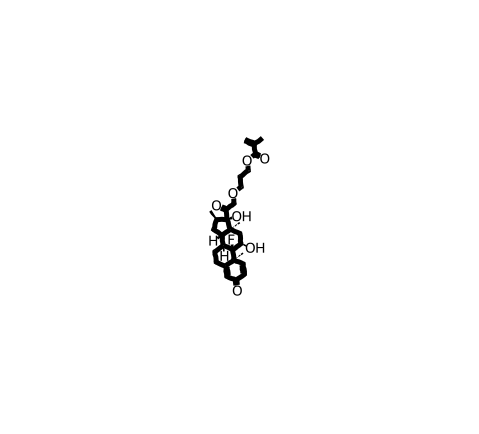 C=C(C)C(=O)OCCCOCC(=O)[C@@]1(O)[C@H](C)C[C@H]2[C@@H]3CCC4=CC(=O)C=C[C@]4(C)[C@@]3(F)[C@@H](O)C[C@@]21C